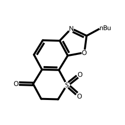 CCCCc1nc2ccc3c(c2o1)S(=O)(=O)CCC3=O